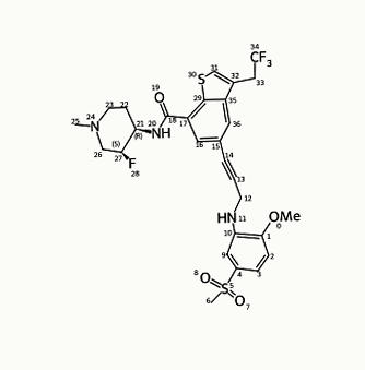 COc1ccc(S(C)(=O)=O)cc1NCC#Cc1cc(C(=O)N[C@@H]2CCN(C)C[C@@H]2F)c2scc(CC(F)(F)F)c2c1